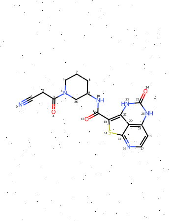 N#CCC(=O)N1CCCC(NC(=O)c2sc3nccc4c3c2NC(=O)N4)C1